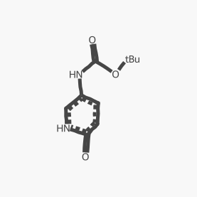 CC(C)(C)OC(=O)Nc1ccc(=O)[nH]c1